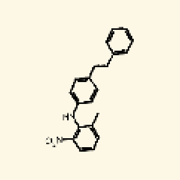 Cc1cccc([N+](=O)[O-])c1Nc1ccc(CCc2ccccc2)cc1